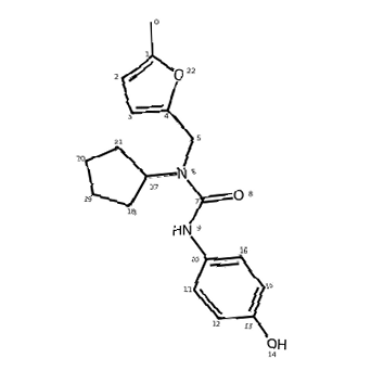 Cc1ccc(CN(C(=O)Nc2ccc(O)cc2)C2CCCC2)o1